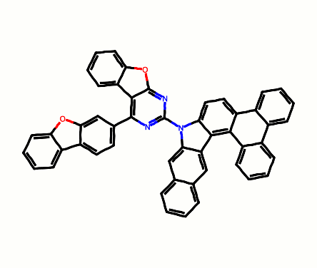 c1ccc2cc3c(cc2c1)c1c2c4ccccc4c4ccccc4c2ccc1n3-c1nc(-c2ccc3c(c2)oc2ccccc23)c2c(n1)oc1ccccc12